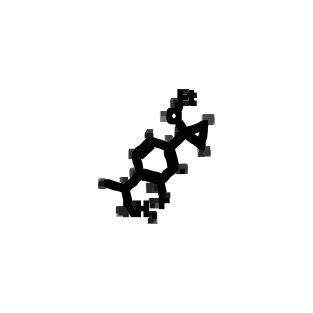 CCOC1(c2ccc(C(C)N)c(F)c2)CC1